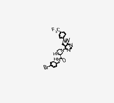 O=C(NCc1ccc(Br)cc1)[C@@H]1CN(c2ncnc3nn(-c4ccc(C(F)(F)F)cc4)cc23)CCN1